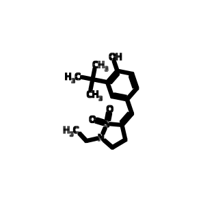 CCN1CCC(=Cc2ccc(O)c(C(C)(C)C)c2)S1(=O)=O